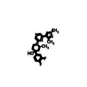 Cc1nn(C)cc1-c1cncc(N2CC[C@@](O)(c3ccc(F)c(F)c3)C[C@H]2C)n1